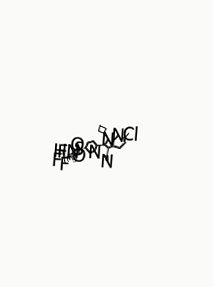 C[C@@H](NS(=O)(=O)c1ccc(-c2c(C#N)c3ccc(Cl)nc3n2C2CCC2)nc1)C(F)(F)F